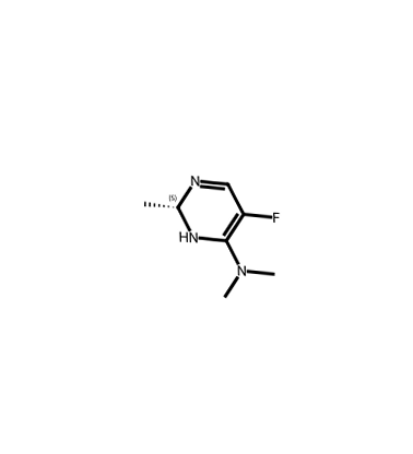 C[C@@H]1N=CC(F)=C(N(C)C)N1